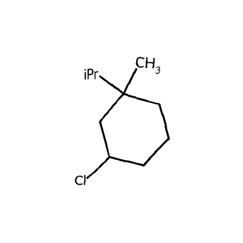 CC(C)C1(C)CCCC(Cl)C1